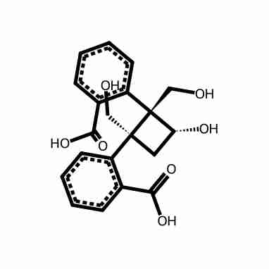 O=C(O)c1ccccc1[C@]1(CO)C[C@@H](O)[C@@]1(CO)c1ccccc1C(=O)O